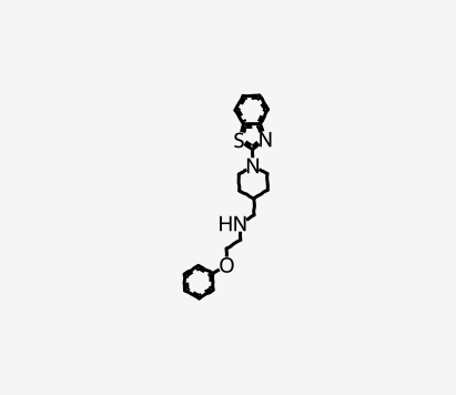 c1ccc(OCCNCC2CCN(c3nc4ccccc4s3)CC2)cc1